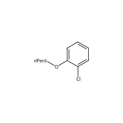 CCCCCOc1ccccc1Cl